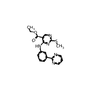 CCOC(=O)c1cnc(SC)nc1Nc1cccc(-c2ncccn2)c1